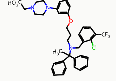 CC(c1ccccc1)(c1ccccc1)N(CCCOc1cccc(N2CCN(CC(=O)O)CC2)c1)Cc1cccc(C(F)(F)F)c1Cl